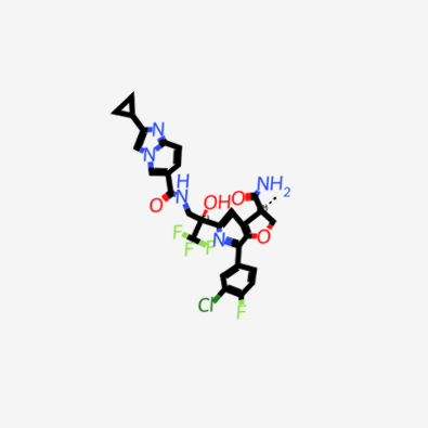 C[C@]1(C(N)=O)COc2c1cc([C@@](O)(CNC(=O)c1ccc3nc(C4CC4)cn3c1)C(F)(F)F)nc2-c1ccc(F)c(Cl)c1